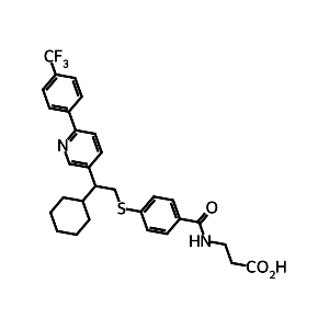 O=C(O)CCNC(=O)c1ccc(SCC(c2ccc(-c3ccc(C(F)(F)F)cc3)nc2)C2CCCCC2)cc1